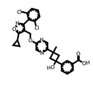 CC1(c2cnc(OCc3c(-c4c(Cl)cccc4Cl)noc3C3CC3)cn2)CC(O)(c2cccc(C(=O)O)c2)C1